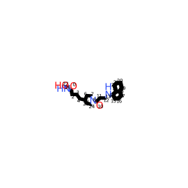 O=C(CCCC1CCN(C(=O)CCNc2cccc3ccccc23)CC1)NO